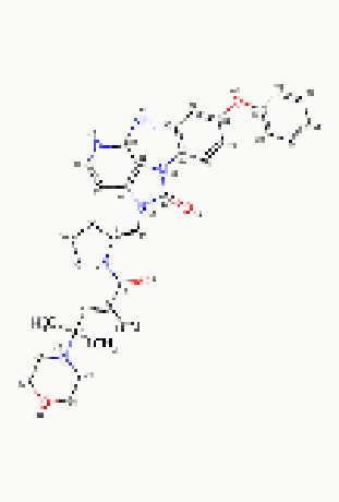 CC(C)(C=C(C#N)C(=O)N1CCC[C@H]1Cn1c(=O)n(-c2ccc(Oc3ccccc3)cc2)c2c(N)nccc21)N1CCOCC1